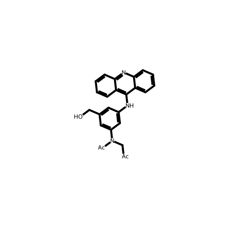 CC(=O)CN(C(C)=O)c1cc(CO)cc(Nc2c3ccccc3nc3ccccc23)c1